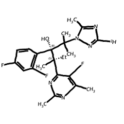 [2H]c1nc(C)n(C(C)(C)[C@](O)(c2ccc(F)cc2F)[C@@](C)(CC)c2nc(C)nc(C)c2F)n1